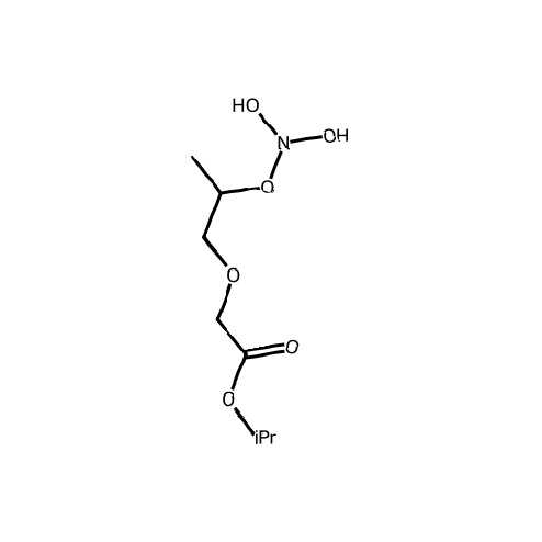 CC(C)OC(=O)COCC(C)ON(O)O